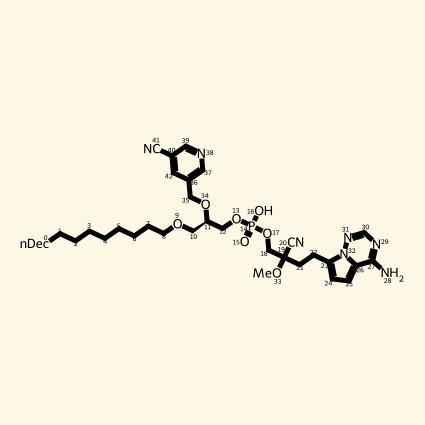 CCCCCCCCCCCCCCCCCCOC[C@H](COP(=O)(O)OCC(C#N)(CCc1ccc2c(N)ncnn12)OC)OCc1cncc(C#N)c1